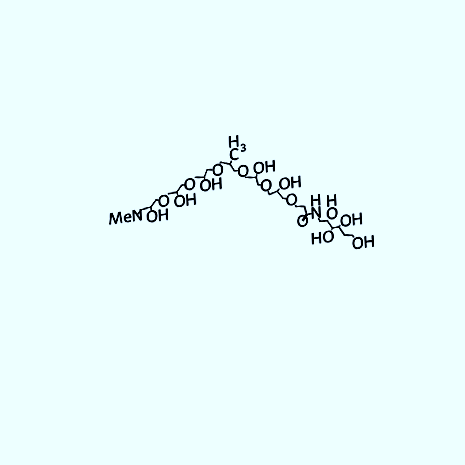 CNCC(O)COCC(O)COCC(O)COCC(C)COCC(O)COCC(O)COCCC(=O)NC[C@H](O)[C@@H](O)[C@H](O)CCO